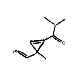 CN(C)C(=O)C1=CC1(C)C=N